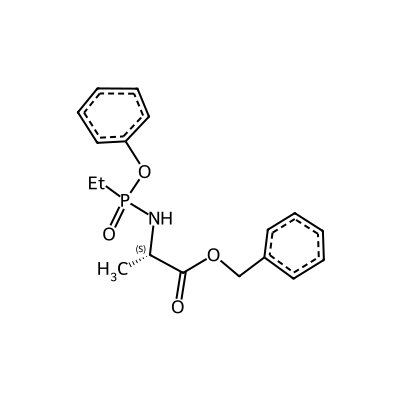 CCP(=O)(N[C@@H](C)C(=O)OCc1ccccc1)Oc1ccccc1